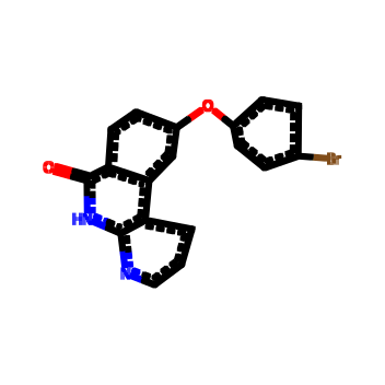 O=c1[nH]c2ncccc2c2cc(Oc3ccc(Br)cc3)ccc12